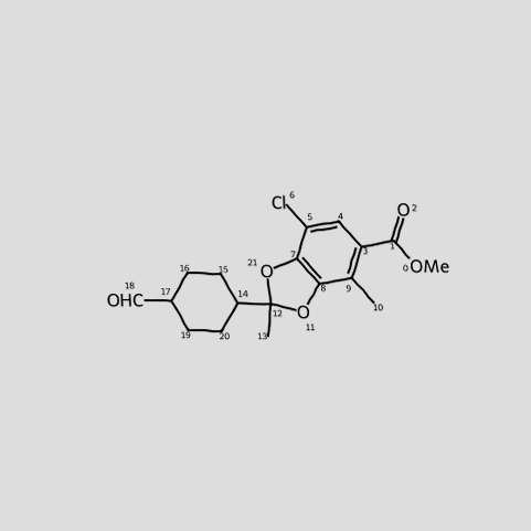 COC(=O)c1cc(Cl)c2c(c1C)OC(C)(C1CCC(C=O)CC1)O2